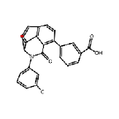 O=C(O)c1cccc(-c2ccc3c4c2C(=O)N(c2cccc(Cl)c2)C(C=C3)C4=O)c1